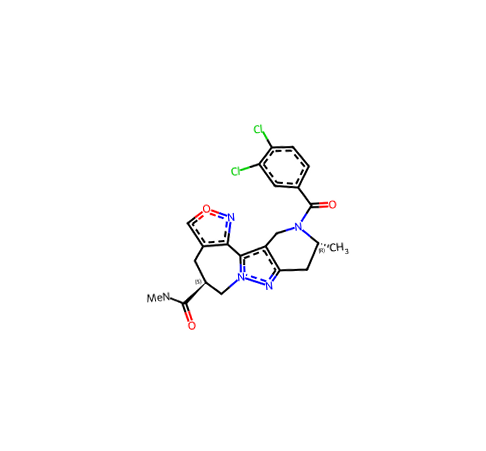 CNC(=O)[C@H]1Cc2conc2-c2c3c(nn2C1)C[C@@H](C)N(C(=O)c1ccc(Cl)c(Cl)c1)C3